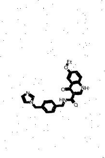 CCOc1ccc2[nH]cc(C(=O)NCc3ccc(Cn4ccnc4)cc3)c(=O)c2c1